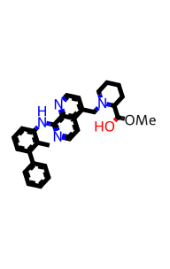 COC(O)C1CCCCN1Cc1ccnc2c(Nc3cccc(-c4ccccc4)c3C)nccc12